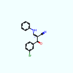 N#C/C(=C\Nc1ccccc1)C(=O)c1cccc(Br)c1